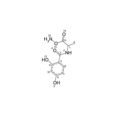 CC(NC(=O)c1ccc(O)cc1O)C(=O)ON